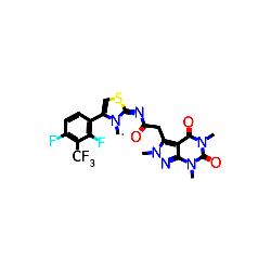 [CH2]n1c(-c2ccc(F)c(C(F)(F)F)c2F)cs/c1=N/C(=O)Cc1c2c(=O)n(C)c(=O)n(C)c2nn1C